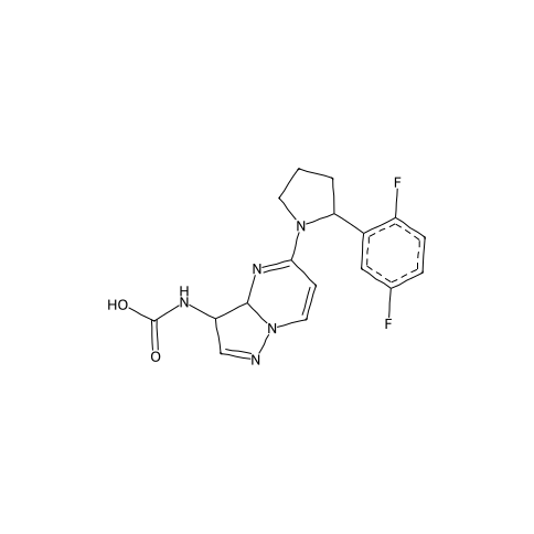 O=C(O)NC1C=NN2C=CC(N3CCCC3c3cc(F)ccc3F)=NC12